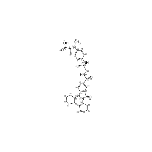 Cn1c(C(=O)O)cc2cc(NC(=O)CNC(=O)c3ccc4c(c3)c(=O)n(-c3ccccc3)n4C3CCCCC3)ccc21